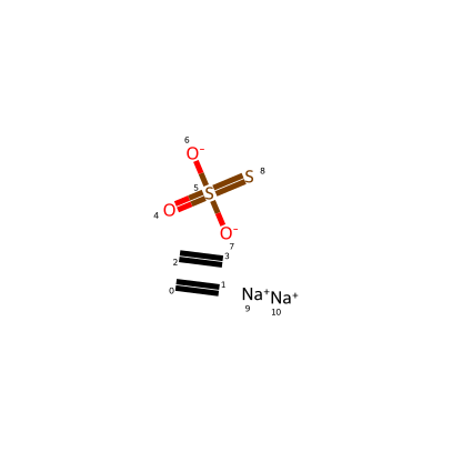 C=C.C=C.O=S([O-])([O-])=S.[Na+].[Na+]